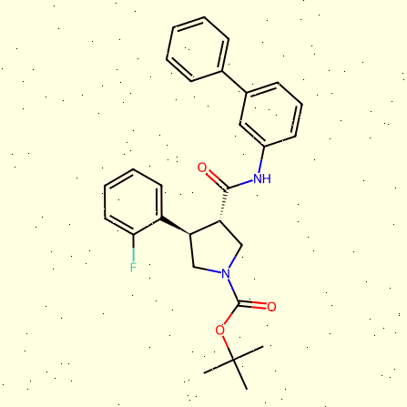 CC(C)(C)OC(=O)N1C[C@@H](C(=O)Nc2cccc(-c3ccccc3)c2)[C@H](c2ccccc2F)C1